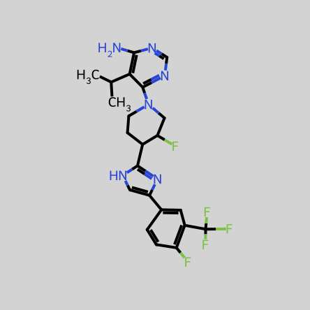 CC(C)c1c(N)ncnc1N1CCC(c2nc(-c3ccc(F)c(C(F)(F)F)c3)c[nH]2)C(F)C1